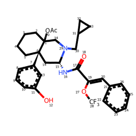 CC(=O)OC12CCCC[C@@]1(c1cccc(O)c1)C[C@@H](NC(=O)C(=Cc1ccccc1)OC(F)(F)F)N(CC1CC1)C2